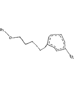 CCCOCCCCc1cccc(CC)c1